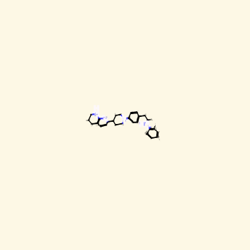 CCc1cc(C(C)=O)cc(C)c1NC(Cc1ccc(N2CCC(c3ccc4c(n3)NCCC4)CC2)cc1)C(=O)O